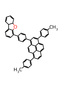 Cc1ccc(-c2ccc3ccc4c(-c5ccc(C)cc5)cc(-c5ccc(-c6cccc7c6OC6C=CC=CC76)cc5)c5ccc2c3c45)cc1